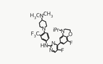 CC(C)N1CCOc2c(F)cc(-c3nc(Nc4ccc(N5CCC(N(C)C)CC5)c(C(F)(F)F)c4)ncc3F)cc21